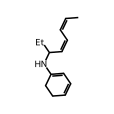 C/C=C\C=C/C(CC)NC1=CC=CCC1